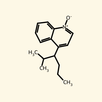 CCCC([C](C)C)c1cc[n+]([O-])c2ccccc12